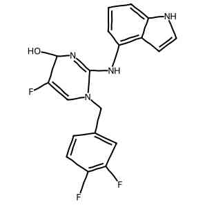 OC1N=C(Nc2cccc3[nH]ccc23)N(Cc2ccc(F)c(F)c2)C=C1F